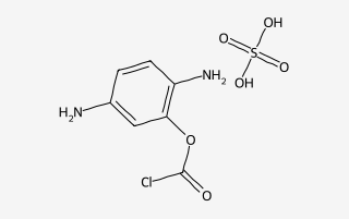 Nc1ccc(N)c(OC(=O)Cl)c1.O=S(=O)(O)O